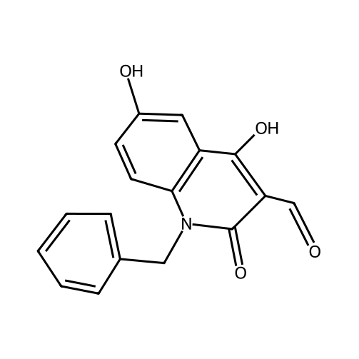 O=Cc1c(O)c2cc(O)ccc2n(Cc2ccccc2)c1=O